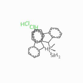 Cl.Cl.[CH3][Hf]([CH3])(=[SiH2])([CH]1c2ccccc2-c2ccccc21)[CH]1c2ccccc2-c2ccccc21